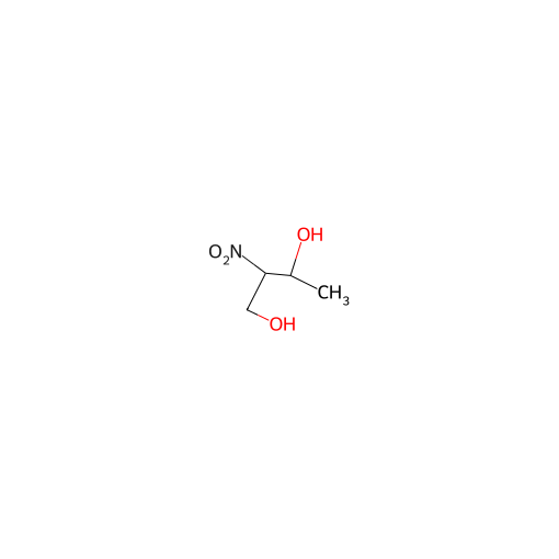 CC(O)C(CO)[N+](=O)[O-]